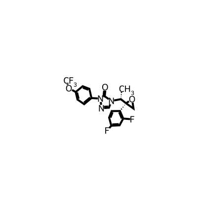 C[C@@H](n1cnn(-c2ccc(OC(F)(F)F)cc2)c1=O)[C@]1(c2ccc(F)cc2F)CO1